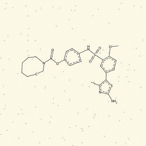 COc1ccc(-c2sc(N)nc2C)cc1S(=O)(=O)Nc1ccc(OC(=O)N2CCCCCCC2)cc1